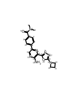 CN(C)C(=O)c1ccc(-c2cnc(N)c(-c3nnc(N4CCC4)o3)n2)cc1